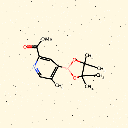 COC(=O)c1cc(B2OC(C)(C)C(C)(C)O2)c(C)cn1